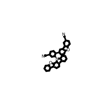 N#Cc1ccc(-c2ccc3oc4ccc(C#N)cc4c3c2)c(-n2c3ccccc3c3ccc4c5ccccc5oc4c32)c1